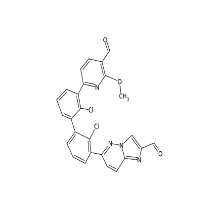 COc1nc(-c2cccc(-c3cccc(-c4ccc5nc(C=O)cn5n4)c3Cl)c2Cl)ccc1C=O